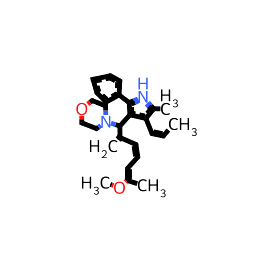 C=C(/C=C\C=C(/C)OC)C(c1c(-c2ccccc2)[nH]c(C)c1/C=C\C)N1CCOCC1